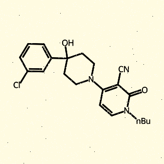 CCCCn1ccc(N2CCC(O)(c3cccc(Cl)c3)CC2)c(C#N)c1=O